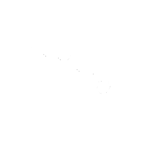 Cc1ccccc1C1(O)CCN(CC(=O)N2CCN(C3CCC3)CC2)CC1